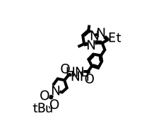 CCc1nn2c(C)cc(C)nc2c1Cc1ccc(C(=O)NNC(=O)C2CCN(C(=O)OC(C)(C)C)CC2)cc1